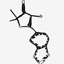 CC1(C)OC(c2ccc3nonc3c2)=C(Br)C1=O